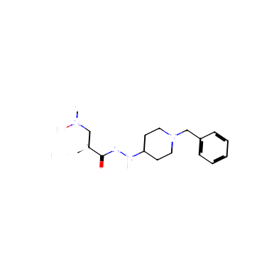 CCCCC[C@@H](CN(O)C=O)C(=O)NNC1CCN(Cc2ccccc2)CC1